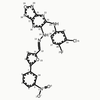 O=[N+]([O-])c1cccc(-c2ccc(C=NNc3nc4nonc4nc3Nc3ccc(F)c(Cl)c3)o2)c1